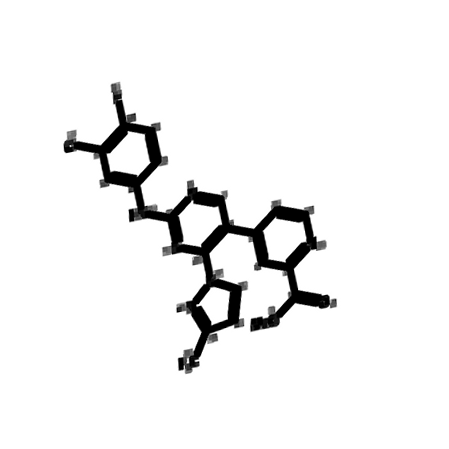 COC(=O)c1cc(-c2cnc(Nc3ccc(F)c(Cl)c3)nc2-n2ccc(C(F)(F)F)n2)ccn1